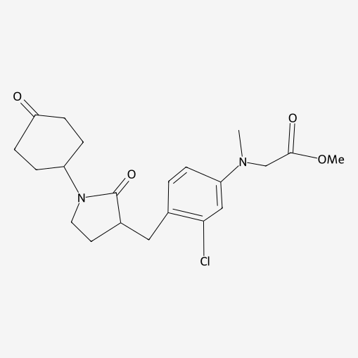 COC(=O)CN(C)c1ccc(CC2CCN(C3CCC(=O)CC3)C2=O)c(Cl)c1